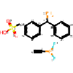 C#CP(F)F.CS(=O)(=O)O.PC(c1ccccc1)c1ccccc1